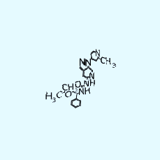 Cc1cc(-n2ncc3cc(NC(=O)N[C@H](COC(C)C)c4ccccc4)ncc32)ccn1